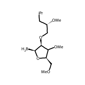 B[C@@H]1O[C@H](COC)C(OC)[C@@H]1OC[C@H](CC(C)C)OC